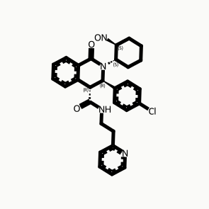 O=N[C@H]1CCCC[C@@H]1N1C(=O)c2ccccc2[C@@H](C(=O)NCCc2ccccn2)[C@@H]1c1ccc(Cl)cc1